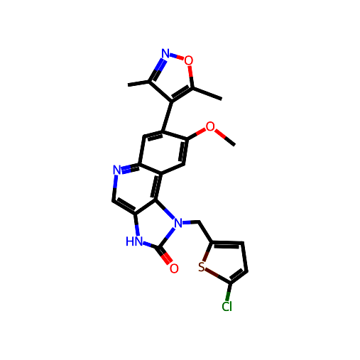 COc1cc2c(cc1-c1c(C)noc1C)ncc1[nH]c(=O)n(Cc3ccc(Cl)s3)c12